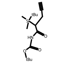 C#CCC(C(=O)NC(=O)OC(C)(C)C)[Si](C)(C)C(C)(C)C